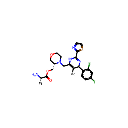 CC[C@H](N)C(=O)OC[C@@H]1COCCN1CC1=C(C(C)=O)C(c2ccc(F)cc2Br)N=C(c2nccs2)N1